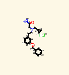 CNC(=O)CN(CCc1cccc(OCc2ccccc2)c1)CC1CC1.Cl